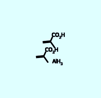 C=C(C)C(=O)O.C=C(C)C(=O)O.[AlH3]